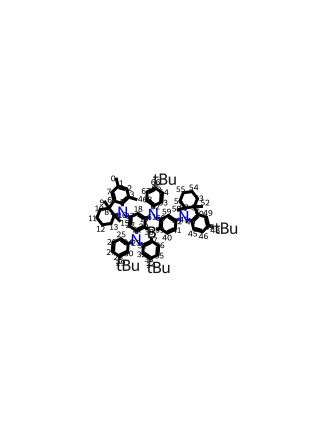 Cc1cc(C)c2c(c1)C1(C)CCCCC1(C)N2c1cc2c3c(c1)N(c1cccc(C(C)(C)C)c1)c1cc(C(C)(C)C)ccc1B3c1ccc(N3c4ccc(C(C)(C)C)cc4C4(C)CCCCC34C)cc1N2c1ccc(C(C)(C)C)cc1